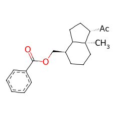 CC(=O)[C@H]1CCC2[C@H](COC(=O)c3ccccc3)CCC[C@@]21C